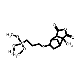 CO[Si](CCCSC1CC2CC1C1C(=O)OC(=O)C21C)(OC)OC